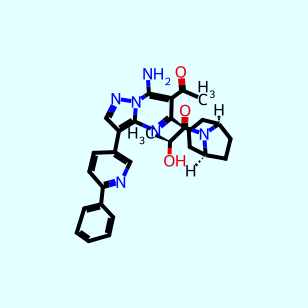 CC(=O)c1c([C@H]2C[C@H]3CC[C@@H](C2)N3C(=O)[C@H](C)O)nc2c(-c3ccc(-c4ccccc4)nc3)cnn2c1N